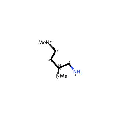 CNCC[C@@H](CN)NC